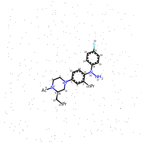 CCCc1cc(N2CCN(C(C)=O)[C@H](CC(C)C)C2)ccc1N(N)c1ccc(F)cc1